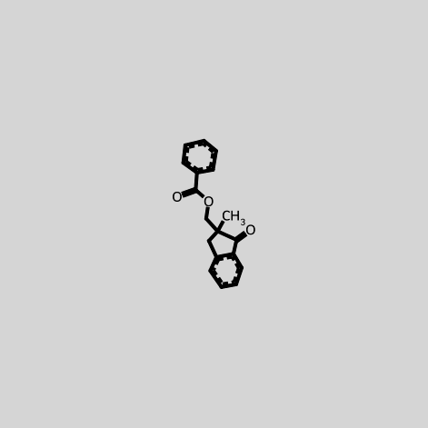 CC1(COC(=O)c2ccccc2)Cc2ccccc2C1=O